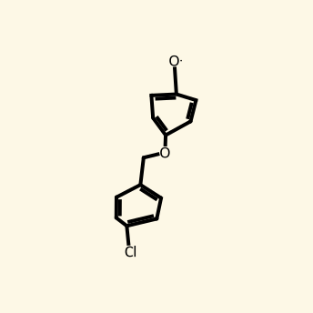 [O]c1ccc(OCc2ccc(Cl)cc2)cc1